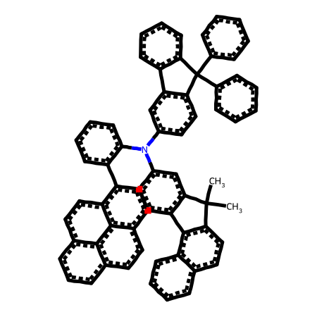 CC1(C)c2cc(N(c3ccc4c(c3)-c3ccccc3C4(c3ccccc3)c3ccccc3)c3ccccc3-c3ccc4ccc5cccc6ccc3c4c56)ccc2-c2c1ccc1ccccc21